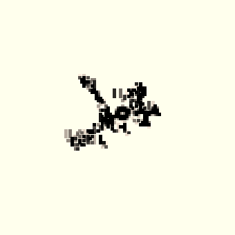 Cc1c(-c2ccc(NC(=O)[C@@H](NC(=O)c3ccnn3C)C(C3CC3)C3CC3)cc2)c(COCCCCN=[N+]=[N-])nn1COCC[Si](C)(C)C